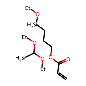 C=CC(=O)OCCC[SiH2]OCC.CCOC([SiH3])OCC